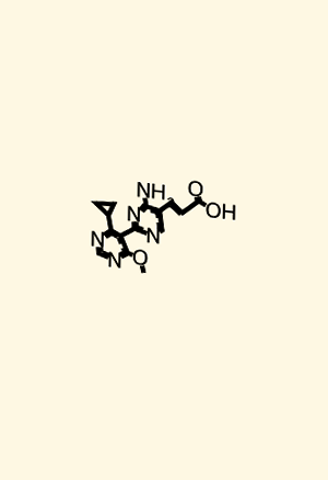 COc1ncnc(C2CC2)c1-c1ncc(/C=C/C(=O)O)c(N)n1